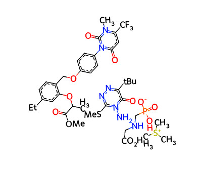 CCc1ccc(COc2ccc(-n3c(=O)cc(C(F)(F)F)n(C)c3=O)cc2)c(OC(C)C(=O)OC)c1.CSc1nnc(C(C)(C)C)c(=O)n1N.C[S+](C)C.O=C(O)CNCP(=O)([O-])O